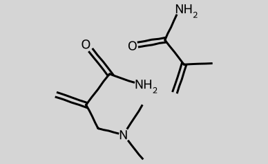 C=C(C)C(N)=O.C=C(CN(C)C)C(N)=O